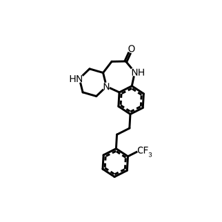 O=C1CC2CNCCN2c2cc(CCc3ccccc3C(F)(F)F)ccc2N1